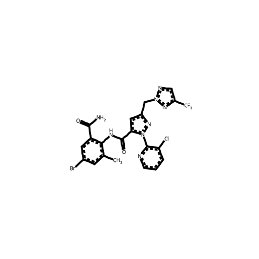 Cc1cc(Br)cc(C(N)=O)c1NC(=O)c1cc(Cn2ncc(C(F)(F)F)n2)nn1-c1ncccc1Cl